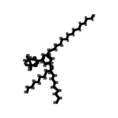 CCCCCCCCCCCCCCCc1cc(OC(CCCCCCCC)CCCCCCCC)cc(B2OC(C)(C)C(C)(C)O2)c1